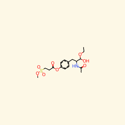 CCOC(O)C(Cc1ccc(OC(=O)CCS(=O)(=O)OC)cc1)NC(C)=O